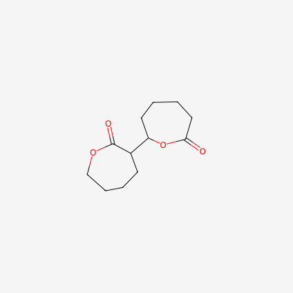 O=C1CCCCC(C2CCCCOC2=O)O1